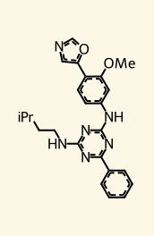 COc1cc(Nc2nc(NCCC(C)C)nc(-c3ccccc3)n2)ccc1-c1cnco1